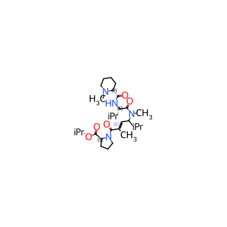 C/C(=C\C(C(C)C)N(C)C(=O)[C@@H](NC(=O)[C@H]1CCCCN1C)C(C)C)C(=O)N1CCC[C@H]1C(=O)OC(C)C